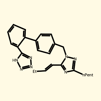 CCC=Cc1nc(CCCCC)nn1Cc1ccc(-c2ccccc2-c2nnn[nH]2)cc1